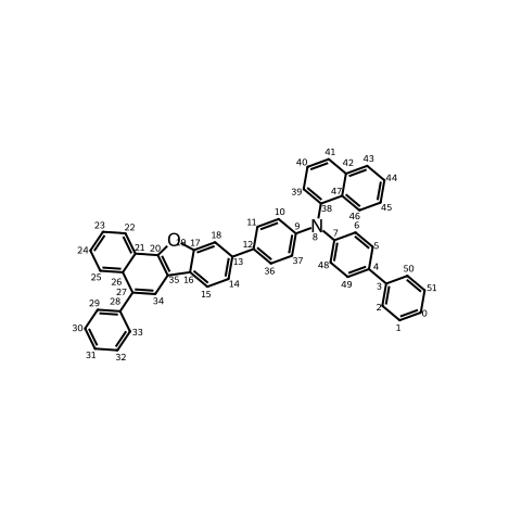 c1ccc(-c2ccc(N(c3ccc(-c4ccc5c(c4)oc4c6ccccc6c(-c6ccccc6)cc54)cc3)c3cccc4ccccc34)cc2)cc1